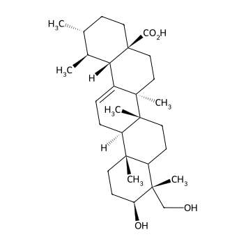 C[C@H]1[C@H](C)CC[C@]2(C(=O)O)CC[C@]3(C)C(=CC[C@@H]4[C@@]5(C)CC[C@H](O)[C@@](C)(CO)C5CC[C@]43C)[C@H]12